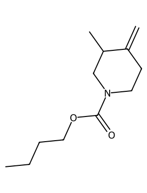 C=C1CCN(C(=O)OCCCC)CC1C